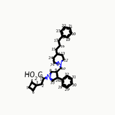 O=C(O)[C@H](CC1CCC1)N1CC(CN2CCC(CCCc3ccccc3)CC2)C(c2ccccc2)C1